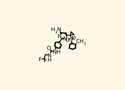 Cc1ccccc1S(=O)(=O)C1(c2cc(N)nc(-c3ccc(NC(=O)NCC(F)F)cc3)n2)CC1